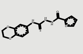 O=C(NNC(=S)Nc1ccc2c(c1)OCCO2)c1ccco1